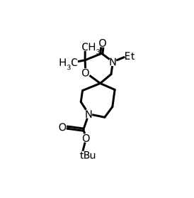 CCN1CC2(CCCN(C(=O)OC(C)(C)C)CC2)OC(C)(C)C1=O